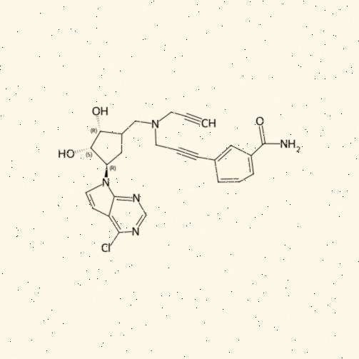 C#CCN(CC#Cc1cccc(C(N)=O)c1)CC1C[C@@H](n2ccc3c(Cl)ncnc32)[C@H](O)[C@@H]1O